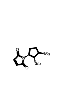 CC(C)(C)C1CC[C@H](N2C(=O)C=CC2=O)[C@@H]1C(C)(C)C